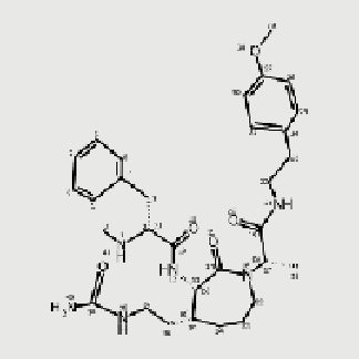 CN[C@H](Cc1ccccc1)C(=O)N[C@@H]1C(=O)N([C@@H](C)C(=O)NCCc2ccc(OC)cc2)CCC[C@@H]1CCNC(N)=O